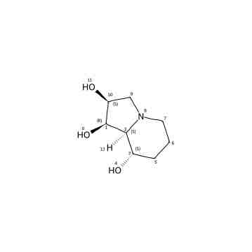 O[C@@H]1[C@@H]2[C@@H](O)CCCN2C[C@@H]1O